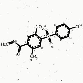 C=NC(=O)c1cc([N+](=O)[O-])c(S(=O)(=O)c2ccc(Cl)cc2)cc1C